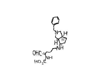 O=C[C@H](CCCN[C@H]1CC[C@@H]2CN(Cc3ccccc3)C[C@@H]21)NC(=O)O